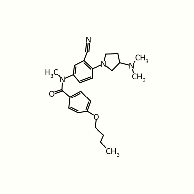 CCCCOc1ccc(C(=O)N(C)c2ccc(N3CCC(N(C)C)C3)c(C#N)c2)cc1